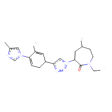 COC1=CC(c2cn(C3CC(C(C)(C)C)CCN(CC(F)(F)F)C3=O)nn2)CC=C1n1cnc(C)c1